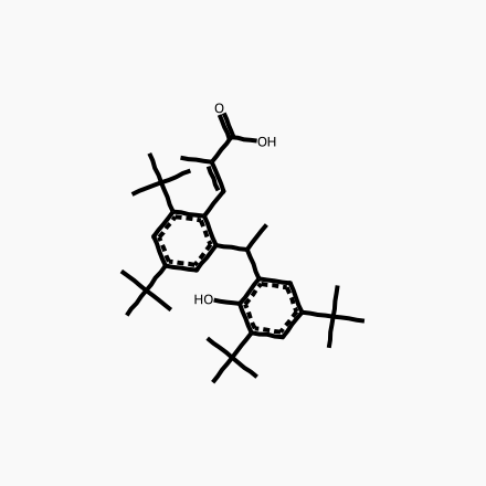 C/C(=C\c1c(C(C)c2cc(C(C)(C)C)cc(C(C)(C)C)c2O)cc(C(C)(C)C)cc1C(C)(C)C)C(=O)O